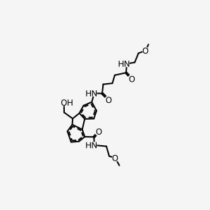 COCCNC(=O)CCCC(=O)Nc1ccc2c(c1)C(CO)c1cccc(C(=O)NCCOC)c1-2